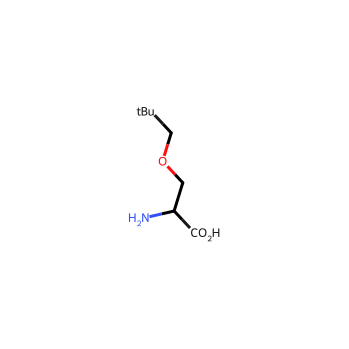 CC(C)(C)COCC(N)C(=O)O